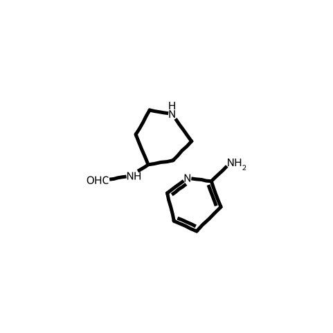 Nc1ccccn1.O=CNC1CCNCC1